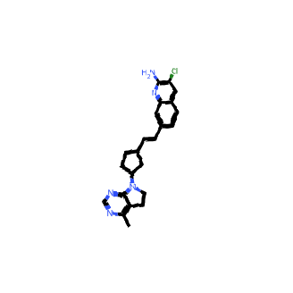 Cc1ncnc2c1CCN2C1CCC(CCc2ccc3cc(Cl)c(N)nc3c2)C1